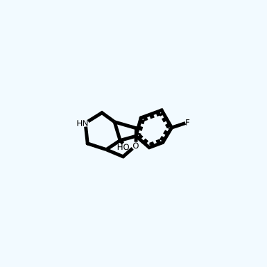 OC1(c2ccc(F)cc2)C2CNCC1COC2